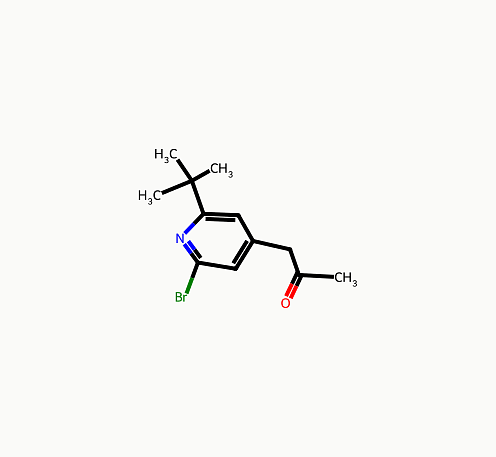 CC(=O)Cc1cc(Br)nc(C(C)(C)C)c1